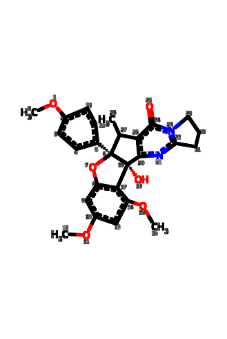 COc1ccc([C@@]23Oc4cc(OC)cc(OC)c4[C@]2(O)c2nc4n(c(=O)c2C3C)CCC4)cc1